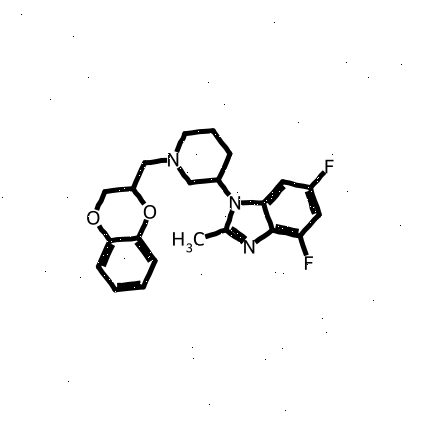 Cc1nc2c(F)cc(F)cc2n1C1CCCN(CC2COc3ccccc3O2)C1